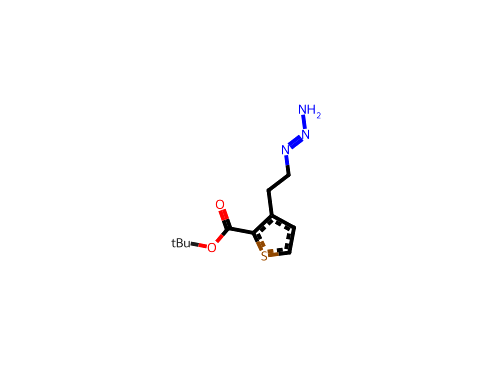 CC(C)(C)OC(=O)c1sccc1CCN=NN